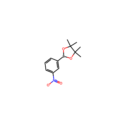 CC1(C)OB(c2cccc([N+](=O)[O-])c2)OC1(C)C